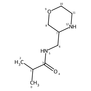 CC(C)C(=O)NCC1COCCN1